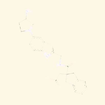 NC1CCN(c2ccc3nc(CNC(=O)C4(CC(=O)O)Cc5ccccc5C4)sc3c2)C1